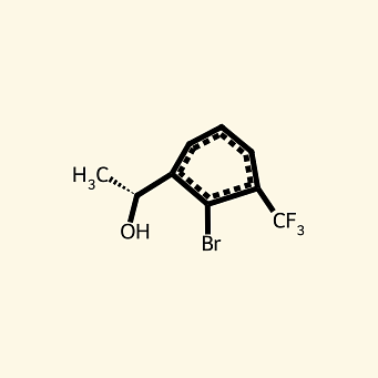 C[C@@H](O)c1cccc(C(F)(F)F)c1Br